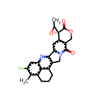 Cc1c(F)cc2nc3c(c4c2c1CCC4)Cn1c-3cc2c(c1=O)COC(=O)[C@@]21OC1C